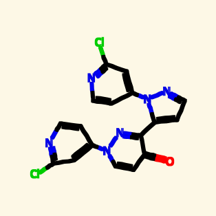 O=c1ccn(-c2ccnc(Cl)c2)nc1-c1ccnn1-c1ccnc(Cl)c1